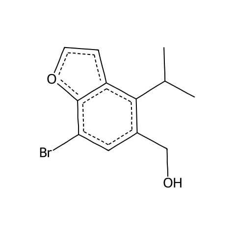 CC(C)c1c(CO)cc(Br)c2occc12